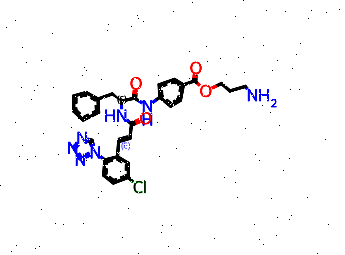 NCCCOC(=O)c1ccc(NC(=O)[C@H](Cc2ccccc2)NC(=O)/C=C/c2cc(Cl)ccc2-n2cnnn2)cc1